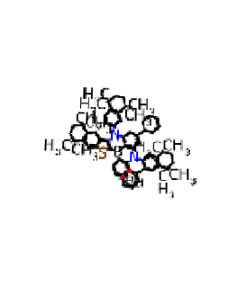 CC(C)(C)c1ccc2c(c1)N(c1cc3c(cc1-c1ccccc1)C(C)(C)CCC3(C)C)c1cc(C3CCCCC3)cc3c1B2c1sc2cc4c(cc2c1N3c1ccc2c(c1)C(C)(C)CCC2(C)C)C(C)(C)CCC4(C)C